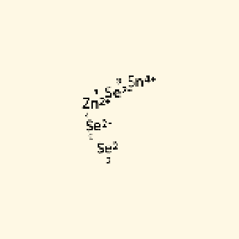 [Se-2].[Se-2].[Se-2].[Sn+4].[Zn+2]